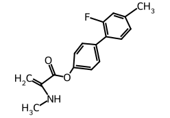 C=C(NC)C(=O)Oc1ccc(-c2ccc(C)cc2F)cc1